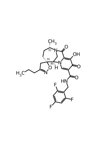 CCCC1=NO[C@@]2(CC[C@H](C)N3C[C@H]2n2cc(C(=O)NCc4c(F)cc(F)cc4F)c(=O)c(O)c2C3=O)C1